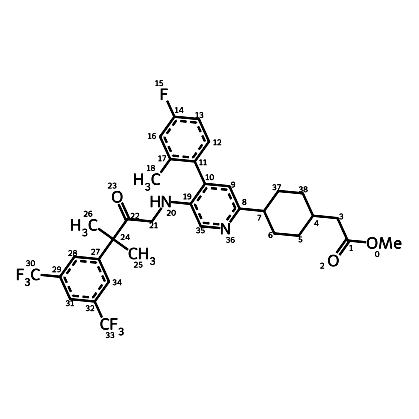 COC(=O)CC1CCC(c2cc(-c3ccc(F)cc3C)c(NCC(=O)C(C)(C)c3cc(C(F)(F)F)cc(C(F)(F)F)c3)cn2)CC1